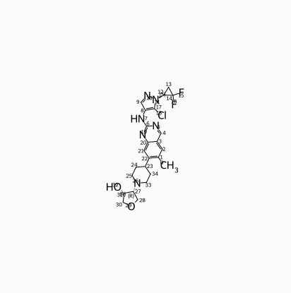 Cc1cc2cnc(Nc3cnn([C@H]4CC4(F)F)c3Cl)nc2cc1C1CCN([C@@H]2COC[C@@H]2O)CC1